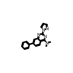 CN(C)c1nc(-n2cccn2)nc2cc(-c3ccccc3)ccc12